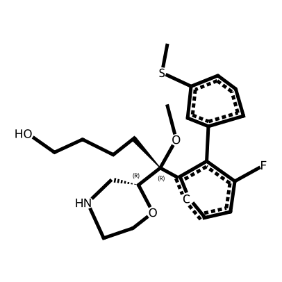 CO[C@](CCCCO)(c1cccc(F)c1-c1cccc(SC)c1)[C@H]1CNCCO1